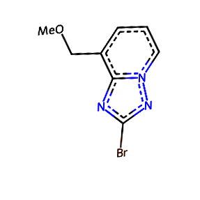 COCc1cccn2nc(Br)nc12